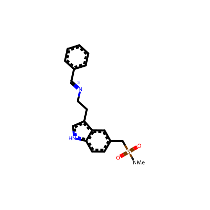 CNS(=O)(=O)Cc1ccc2[nH]cc(CC/N=C/c3ccccc3)c2c1